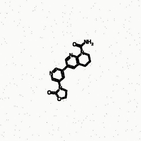 NC(=O)N1CCCc2cc(-c3cncc(N4CCOC4=O)c3)cnc21